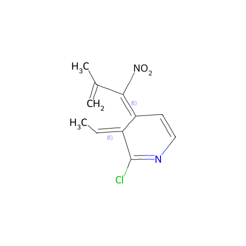 C=C(C)/C(=c1/ccnc(Cl)/c1=C/C)[N+](=O)[O-]